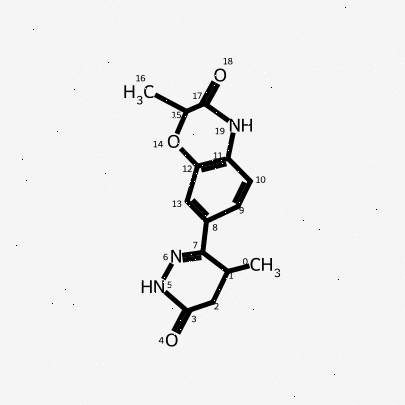 CC1CC(=O)NN=C1c1ccc2c(c1)OC(C)C(=O)N2